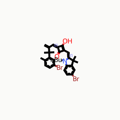 C=C(/C=C1\C(=O)C(/C=C2\N(CCCC)c3ccc(Br)cc3C2(C)C)=C1O)C(C)(C)c1cc(Br)ccc1C